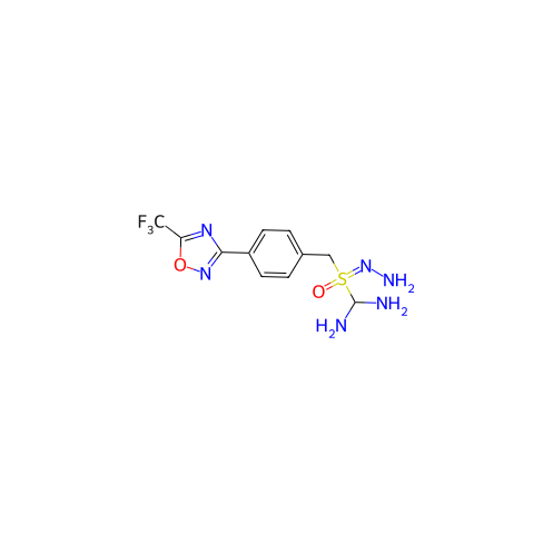 NN=S(=O)(Cc1ccc(-c2noc(C(F)(F)F)n2)cc1)C(N)N